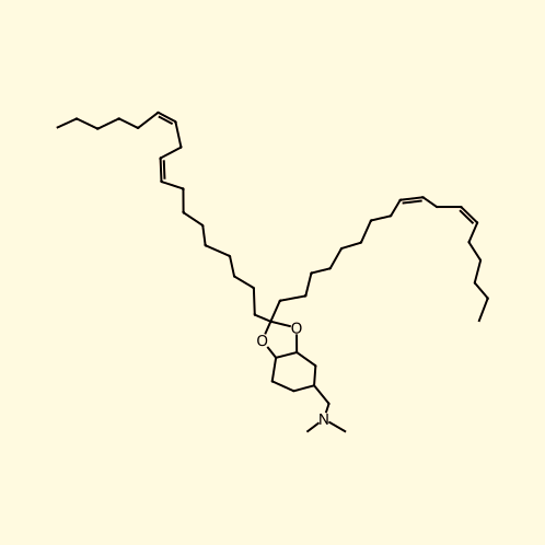 CCCCC/C=C\C/C=C\CCCCCCCCC1(CCCCCCCC/C=C\C/C=C\CCCCC)OC2CCC(CN(C)C)CC2O1